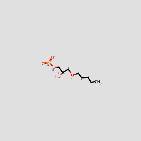 CCCCCOCC(O)COP(=O)=O